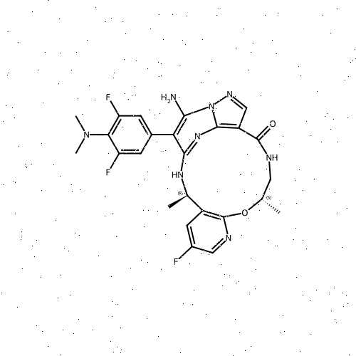 C[C@H]1CNC(=O)c2cnn3c(N)c(-c4cc(F)c(N(C)C)c(F)c4)c(nc23)N[C@H](C)c2cc(F)cnc2O1